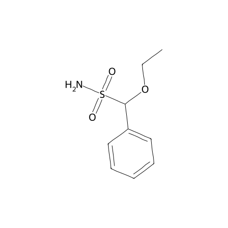 CCOC(c1ccccc1)S(N)(=O)=O